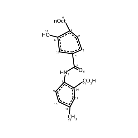 CCCCCCCCc1ccc(C(=O)Nc2ccc(C)cc2C(=O)O)cc1O